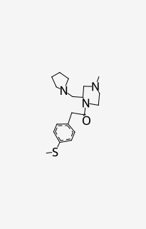 CSc1ccc(CC(=O)N2CCN(C)CC2CN2CCCC2)cc1